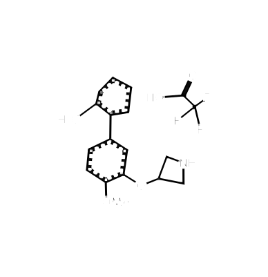 COc1ccc(-c2ccccc2C)cc1OC1CNC1.O=C(O)C(F)(F)F